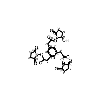 O=C(Cc1cc(CC(=O)ON2C(=O)CCC2=O)cc(CC(=O)ON2C(=O)CCC2O)c1)ON1C(=O)CCC1=O